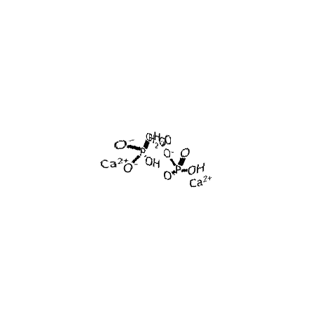 O.O.O=P([O-])([O-])O.O=P([O-])([O-])O.[Ca+2].[Ca+2]